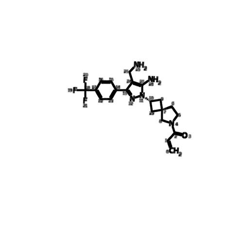 C=CC(=O)N1CC[C@]2(C1)C[C@@H](n1nc(-c3ccc(C(F)(F)F)cc3)c(CN)c1N)C2